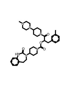 Cc1cccc(CC(OC(=O)N2CCC(N3CCc4ccccc4NC3=O)CC2)C(=O)N2CCC(N3CCN(C)CC3)CC2)c1